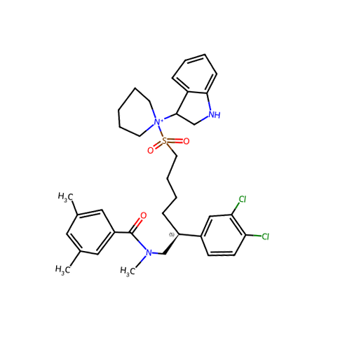 Cc1cc(C)cc(C(=O)N(C)C[C@@H](CCCCS(=O)(=O)[N+]2(C3CNc4ccccc43)CCCCC2)c2ccc(Cl)c(Cl)c2)c1